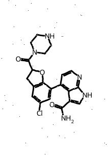 NC(=O)c1c[nH]c2nccc(-c3cc(Cl)cc4c3OC(C(=O)N3CCNCC3)C4)c12